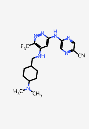 CN(C)C1CCC(CNc2cc(Nc3cnc(C#N)cn3)nnc2C(F)(F)F)CC1